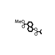 C=C(C)C(=O)Oc1cccc2c(C(=O)OC)cccc12